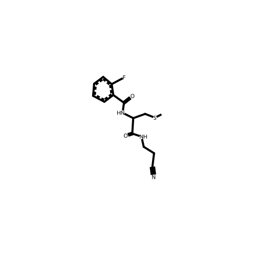 CSCC(NC(=O)c1ccccc1F)C(=O)NCCC#N